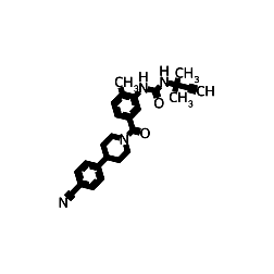 C#CC(C)(C)NC(=O)Nc1cc(C(=O)N2CCC(c3ccc(C#N)cc3)CC2)ccc1C